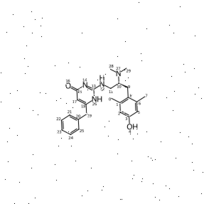 Cc1cc(O)cc(C)c1C[C@@H](CNc1nc(=O)cc(Cc2ccccc2)[nH]1)N(C)C